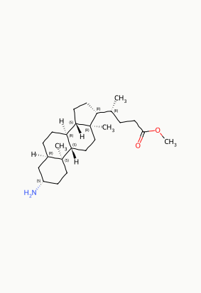 COC(=O)CC[C@@H](C)[C@H]1CC[C@H]2[C@@H]3CC[C@@H]4C[C@@H](N)CC[C@]4(C)[C@H]3CC[C@]12C